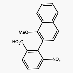 COc1c(-c2c(C(=O)O)cccc2[N+](=O)[O-])ccc2ccccc12